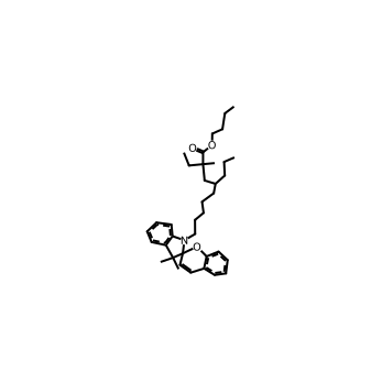 CCCCOC(=O)C(C)(CC)CC(CCC)CCCCCN1c2ccccc2C(C)(C)C12C=Cc1ccccc1O2